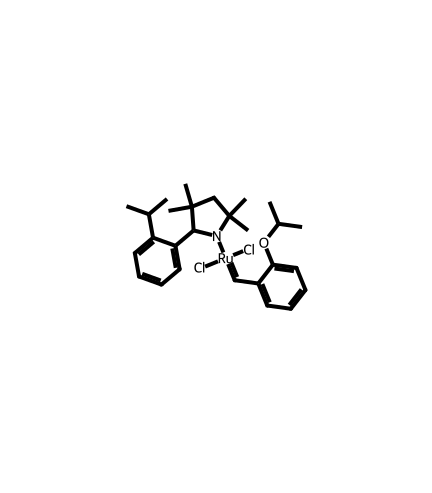 CC(C)Oc1ccccc1[CH]=[Ru]([Cl])([Cl])[N]1C(c2ccccc2C(C)C)C(C)(C)CC1(C)C